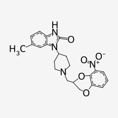 Cc1ccc2[nH]c(=O)n(C3CCN(CC4COc5cccc([N+](=O)[O-])c5O4)CC3)c2c1